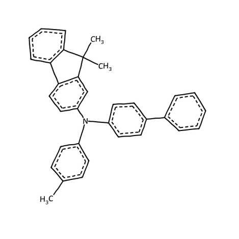 Cc1ccc(N(c2ccc(-c3ccccc3)cc2)c2ccc3c(c2)C(C)(C)c2ccccc2-3)cc1